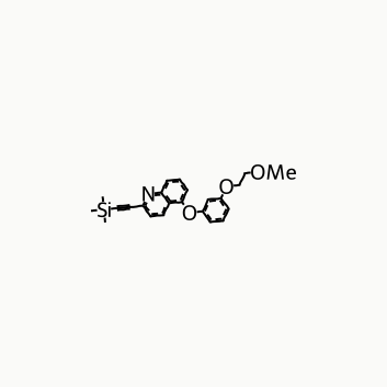 COCCOc1cccc(Oc2cccc3nc(C#C[Si](C)(C)C)ccc23)c1